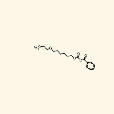 C=CCOCCCCCCOC(=O)OC(=O)c1ccccc1